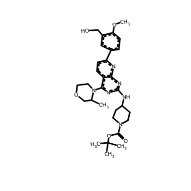 COc1ccc(-c2ccc3c(N4CCOCC4C)nc(NC4CCN(C(=O)OC(C)(C)C)CC4)nc3n2)cc1CO